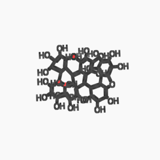 Oc1c(O)c(O)c(-c2c(O)c(O)c(O)c(O)c2-c2c3c(O)c(O)c(O)c(O)c3c(-c3c(O)c(O)c(O)c4oc5c(O)c(O)c(O)c(O)c5c34)c3c(O)c(O)c(O)c(O)c23)c(O)c1O